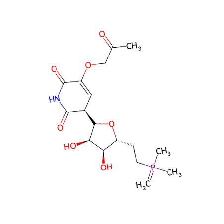 C=P(C)(C)CC[C@H]1OC([C@@H]2C=C(OCC(C)=O)C(=O)NC2=O)[C@H](O)[C@@H]1O